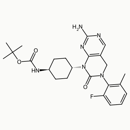 Cc1cccc(F)c1N1Cc2cnc(N)nc2N([C@H]2CC[C@H](NC(=O)OC(C)(C)C)CC2)C1=O